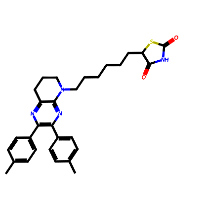 Cc1ccc(-c2nc3c(nc2-c2ccc(C)cc2)N(CCCCCCC2SC(=O)NC2=O)CCC3)cc1